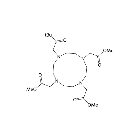 COC(=O)CN1CCN(CC(=O)OC)CCN(CC(=O)C(C)(C)C)CCN(CC(=O)OC)CC1